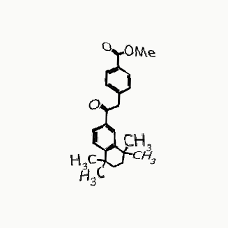 COC(=O)c1ccc(CC(=O)c2ccc3c(c2)C(C)(C)CCC3(C)C)cc1